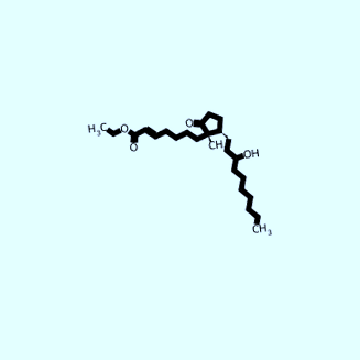 CCCCCCCC(O)CC[C@H]1CCC(=O)[C@]1(C)CCCCC=CC(=O)OCC